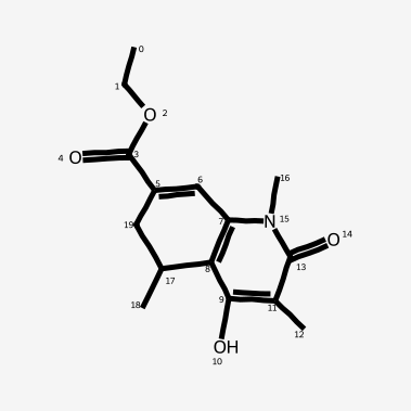 CCOC(=O)C1=Cc2c(c(O)c(C)c(=O)n2C)C(C)C1